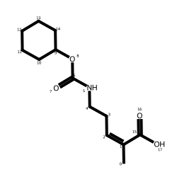 CC(=CCCNC(=O)OC1CCCCC1)C(=O)O